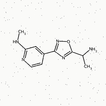 CNc1cc(-c2noc(C(C)N)n2)ccn1